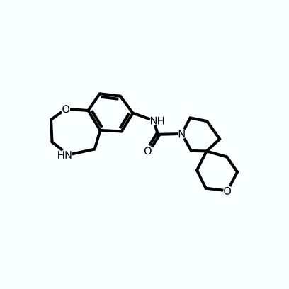 O=C(Nc1ccc2c(c1)CNCCO2)N1CCCC2(CCOCC2)C1